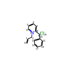 C=CC[n+]1ccccc1Cc1ccccc1.[Cl-]